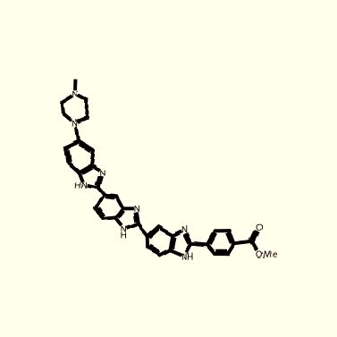 COC(=O)c1ccc(-c2nc3cc(-c4nc5cc(-c6nc7cc(N8CCN(C)CC8)ccc7[nH]6)ccc5[nH]4)ccc3[nH]2)cc1